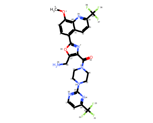 COc1ccc(-c2nc(C(=O)N3CCN(c4nccc(C(F)(F)F)n4)CC3)c(CN)o2)c2ccc(C(F)(F)F)nc12